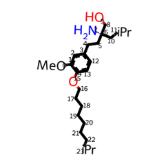 COc1cc(CC[C@@](N)(CO)CC(C)C)ccc1OCCCCCCCC(C)C